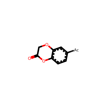 CC(=O)c1ccc2c(c1)OCC(=O)O2